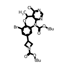 CC1Oc2c(Br)cc(C3CN(C(=O)OC(C)(C)C)C3)cc2N(C(=O)OC(C)(C)C)c2ncnc(Cl)c21